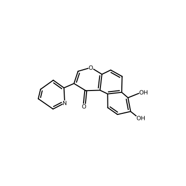 O=c1c(-c2ccccn2)coc2ccc3c(O)c(O)ccc3c12